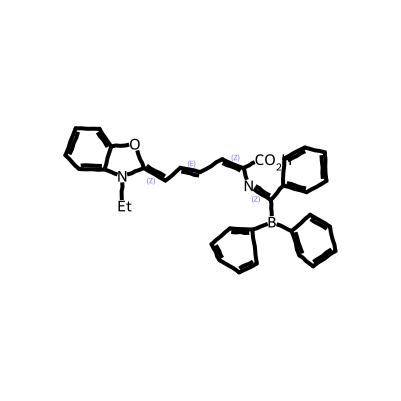 CCN1/C(=C/C=C/C=C(\N=C(\B(c2ccccc2)c2ccccc2)c2ccccc2)C(=O)O)Oc2ccccc21